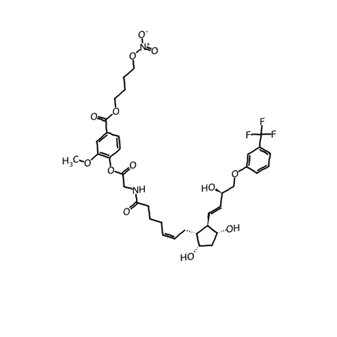 COc1cc(C(=O)OCCCCO[N+](=O)[O-])ccc1OC(=O)CNC(=O)CCC/C=C\C[C@@H]1[C@@H](/C=C/[C@@H](O)COc2cccc(C(F)(F)F)c2)[C@H](O)C[C@@H]1O